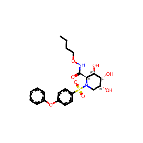 CCCCONC(=O)[C@H]1[C@@H](O)[C@H](O)[C@H](O)CN1S(=O)(=O)c1ccc(Oc2ccccc2)cc1